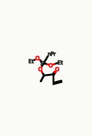 C=CC(=O)C(C)O[Si](CCC)(OCC)OCC